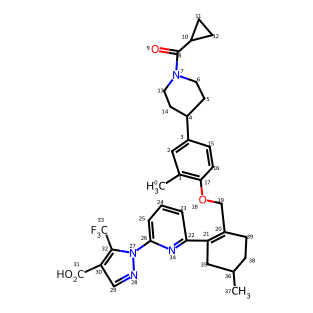 Cc1cc(C2CCN(C(=O)C3CC3)CC2)ccc1OCC1=C(c2cccc(-n3ncc(C(=O)O)c3C(F)(F)F)n2)CC(C)CC1